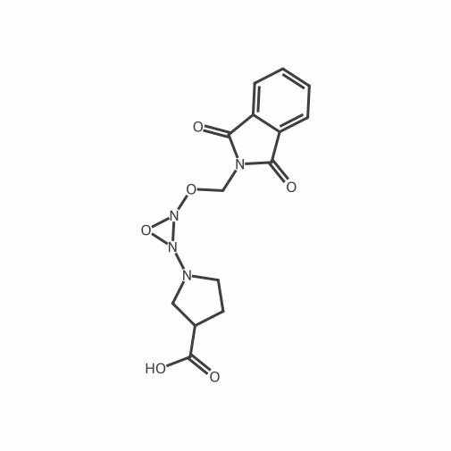 O=C(O)C1CCN(n2on2OCN2C(=O)c3ccccc3C2=O)C1